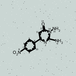 Nc1nc(-c2ccc([N+](=O)[O-])cc2)cc(=O)n1N